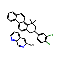 CC1(C)CC(c2ccc(F)c(Cl)c2)Cc2ccc3c(ccc4ccccc43)c21.N#Cc1cc2cccnc2cn1